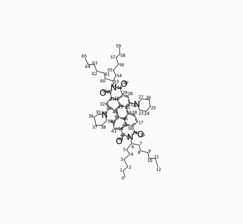 CCCCCCC(CCCCCC)N1C(=O)c2ccc3c4c(N5CCCCC5)cc5c6c(cc(N7CCCCC7)c(c7ccc(c2c37)C1=O)c64)C(=O)N(C(CCCCCC)CCCCCC)C5=O